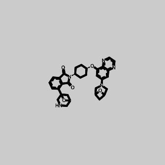 O=C1c2cccc(C34CNCC(C3)O4)c2C(=O)N1[C@H]1CC[C@@H](Oc2cc(N3CC4CC(C3)O4)cc3nccnc23)CC1